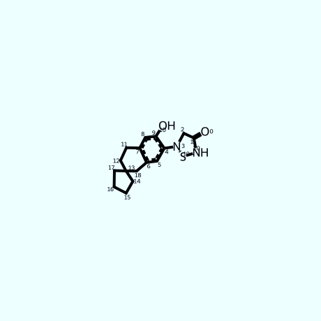 O=C1CN(c2cc3c(cc2O)CCC2(CCCC2)C3)SN1